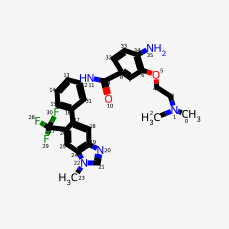 CN(C)CCOc1cc(C(=O)Nc2cccc(-c3cc4ncn(C)c4cc3C(F)(F)F)c2)ccc1N